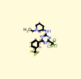 CCN1CCCC(Nc2nc(-c3cccc(C(F)(F)F)c3)nc(C(Cl)(Cl)Cl)n2)C1